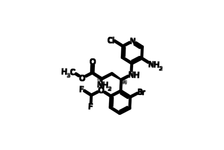 COC(=O)[C@H](N)C[C@@H](Nc1cc(Cl)ncc1N)c1c(Br)cccc1OC(F)F